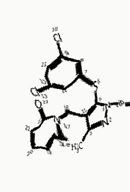 Cc1nn(C(C)C)c(Sc2cc(Cl)cc(Cl)c2)c1Cn1ccccc1=O